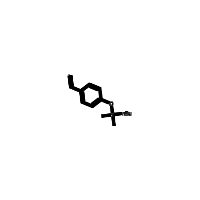 [CH]=Cc1ccc(O[Si](C)(C)CCCC)cc1